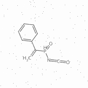 C=C(c1ccccc1)[PH](=O)N=C=O